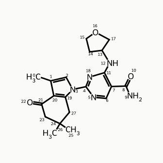 Cc1cn(-c2ncc(C(N)=O)c(NC3CCOC3)n2)c2c1C(=O)CC(C)(C)C2